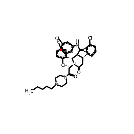 CCCCCN1CCN(C(=O)CN2C(=O)C[C@@H](c3cccc(Cl)c3)[C@]3(C(=O)Nc4cc(Cl)ccc43)[C@H]2c2cc(F)ccc2C)CC1